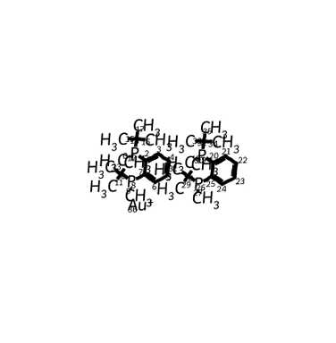 C[P@@](c1ccccc1[P@](C)C(C)(C)C)C(C)(C)C.C[P@@](c1ccccc1[P@](C)C(C)(C)C)C(C)(C)C.[Au+]